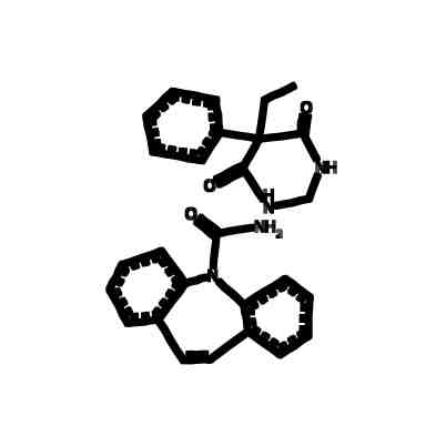 CCC1(c2ccccc2)C(=O)NCNC1=O.NC(=O)N1c2ccccc2C=Cc2ccccc21